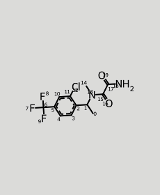 CC(c1ccc(C(F)(F)F)cc1Cl)N(C)C(=O)C(N)=O